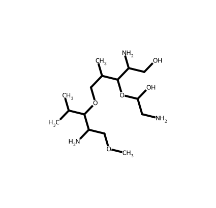 COCC(N)C(OCC(C)C(OC(O)CN)C(N)CO)C(C)C